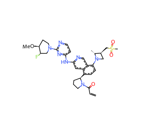 C=CC(=O)N1CCC[C@H]1c1ccc(N2C[C@H](CS(C)(=O)=O)[C@H]2C)c2cnc(Nc3ccnc(N4CC[C@H](OC)[C@H](F)C4)n3)cc12